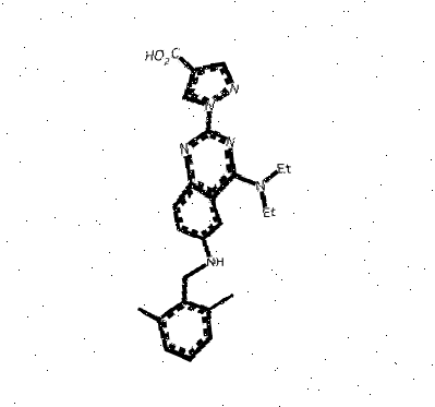 CCN(CC)c1nc(-n2cc(C(=O)O)cn2)nc2ccc(NCc3c(C)cccc3C)cc12